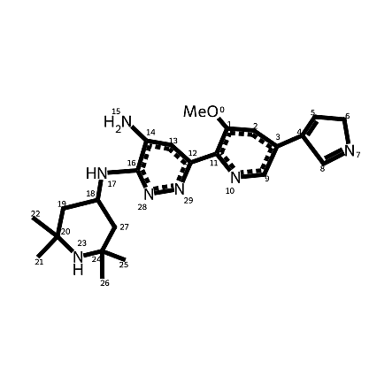 COc1cc(C2=CCN=C2)cnc1-c1cc(N)c(NC2CC(C)(C)NC(C)(C)C2)nn1